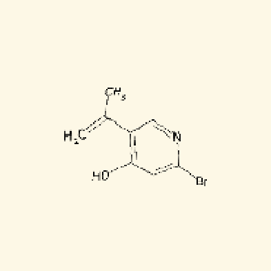 C=C(C)c1cnc(Br)cc1O